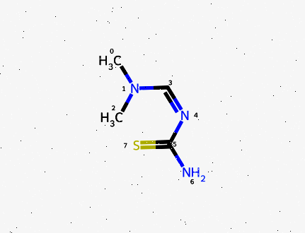 CN(C)/C=N\C(N)=S